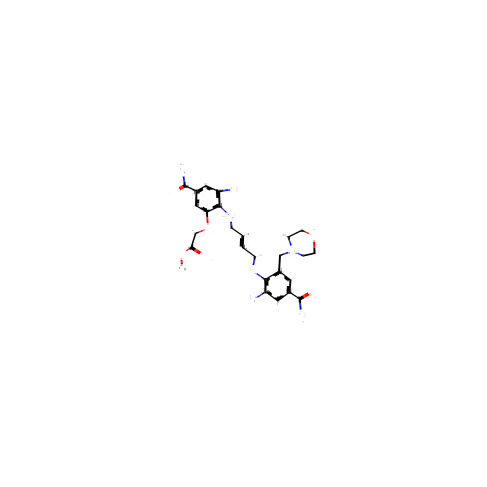 CCCCOC(=O)COc1cc(C(N)=O)cc(N)c1NC/C=C/CNc1c(N)cc(C(N)=O)cc1CN1CCOCC1